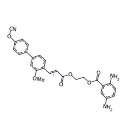 COc1cc(-c2ccc(OC#N)cc2)ccc1/C=C/C(=O)OCCOC(=O)c1cc(N)ccc1N